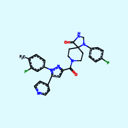 O=C(c1cc(-c2ccncc2)n(-c2ccc(C(F)(F)F)c(F)c2)n1)N1CCC2(CC1)C(=O)NCN2c1ccc(F)cc1